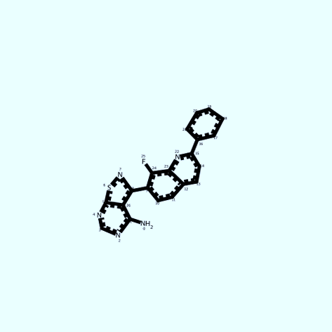 Nc1ncnc2snc(-c3ccc4ccc(-c5ccccc5)nc4c3F)c12